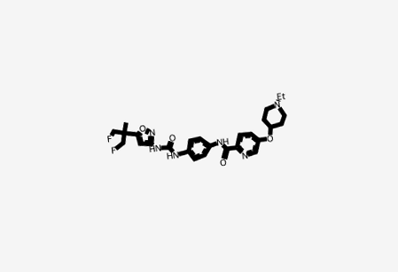 CCN1CCC(Oc2ccc(C(=O)Nc3ccc(NC(=O)Nc4cc(C(C)(CF)CF)on4)cc3)nc2)CC1